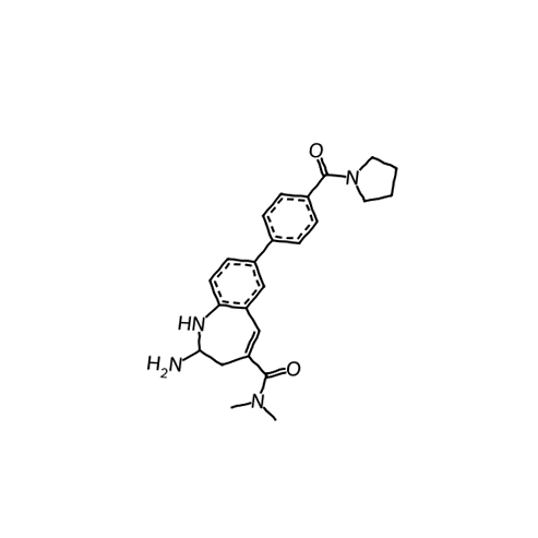 CN(C)C(=O)C1=Cc2cc(-c3ccc(C(=O)N4CCCC4)cc3)ccc2NC(N)C1